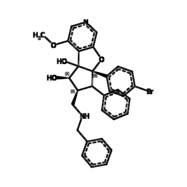 COc1cncc2c1C1(O)[C@H](O)[C@H](CNCc3ccccc3)C(c3ccccc3)[C@@]1(c1ccc(Br)cc1)O2